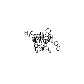 CCOP(=O)(OCC)C(O)C(O)(CCC(=O)N(C)C)NC(=O)C(CC1CCCCC1F)NC(=O)OCc1cccc(Cl)c1